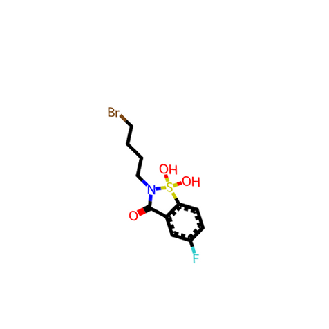 O=C1c2cc(F)ccc2S(O)(O)N1CCCCBr